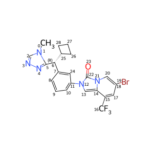 Cn1cnnc1[C@@H](c1cccc(-n2cc3c(C(F)(F)F)cc(Br)cn3c2=O)c1)C1CCC1